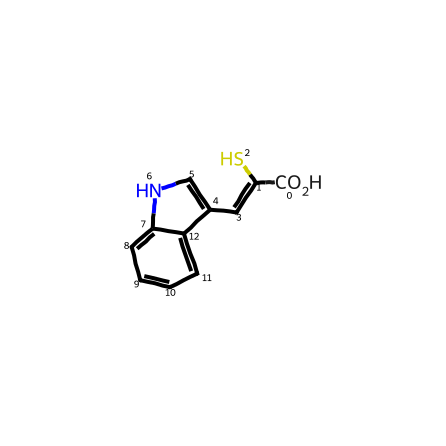 O=C(O)C(S)=Cc1c[nH]c2ccccc12